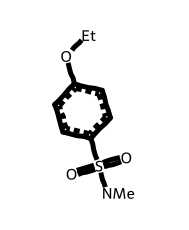 CCOc1ccc(S(=O)(=O)NC)cc1